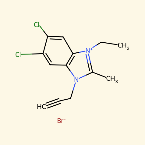 C#CCn1c(C)[n+](CC)c2cc(Cl)c(Cl)cc21.[Br-]